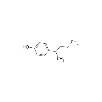 [CH2]CCC(C)c1ccc(O)cc1